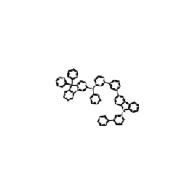 c1ccc(-c2cccc(-n3c4ccccc4c4cc(-c5cccc(-c6cccc(N(c7ccccc7)c7ccc8c(c7)-c7ccccc7C8(c7ccccc7)c7ccccc7)c6)c5)ccc43)c2)cc1